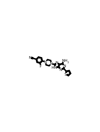 N#Cc1ccc(N2CCN(c3nc4c(N)nc(-c5cccs5)nc4[nH]3)CC2)c(F)c1